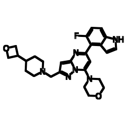 Fc1ccc2[nH]ccc2c1-c1cc(N2CCOCC2)n2nc(CN3CCC(C4COC4)CC3)cc2n1